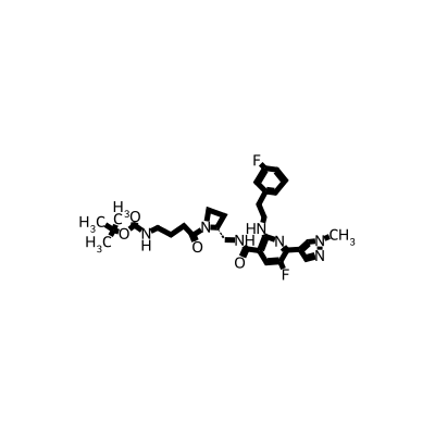 Cn1cc(-c2nc(NCCc3cccc(F)c3)c(C(=O)NC[C@H]3CCN3C(=O)CCCNC(=O)OC(C)(C)C)cc2F)cn1